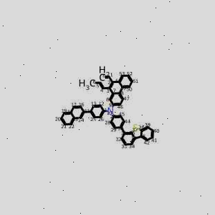 C=Cc1c(/C=C/C)c2cc(N(c3ccc(-c4ccc5ccccc5c4)cc3)c3ccc(-c4cccc5c4sc4ccccc45)cc3)ccc2c2ccccc12